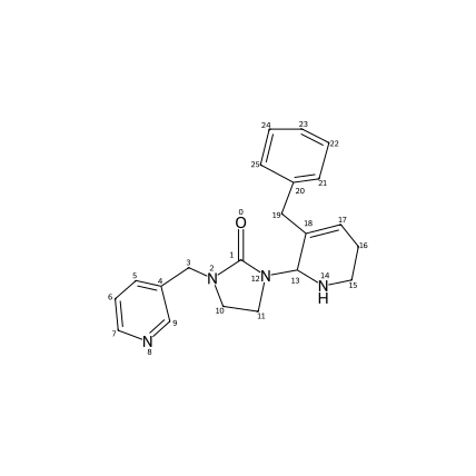 O=C1N(Cc2cccnc2)CCN1C1NCCC=C1Cc1ccccc1